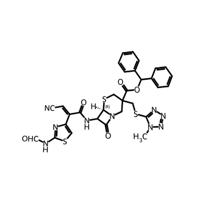 Cn1nnnc1SCC1(C(=O)OC(c2ccccc2)c2ccccc2)CS[C@@H]2C(NC(=O)C(=CC#N)c3csc(NC=O)n3)C(=O)N2C1